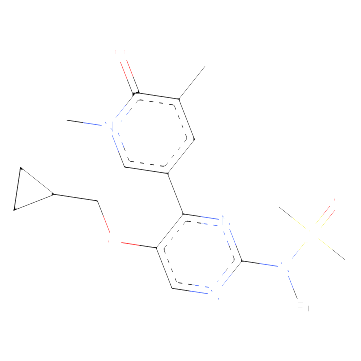 CCN(c1ncc(OCC2CC2)c(-c2cc(C)c(=O)n(C)c2)n1)[SH](C)(C)=O